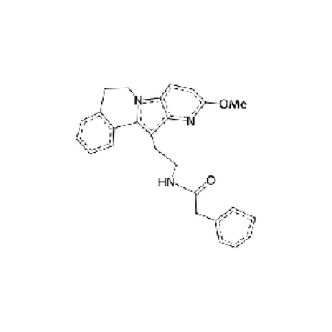 COc1ccc2c(n1)c(CCNC(=O)Cc1ccccc1)c1n2CCc2ccccc2-1